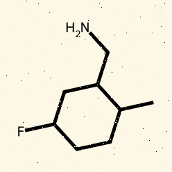 CC1CCC(F)CC1CN